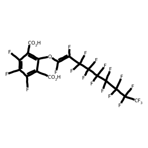 O=C(O)c1c(F)c(F)c(F)c(C(=O)O)c1OC(F)=C(F)C(F)(F)C(F)(F)C(F)(F)C(F)(F)C(F)(F)C(F)(F)C(F)(F)F